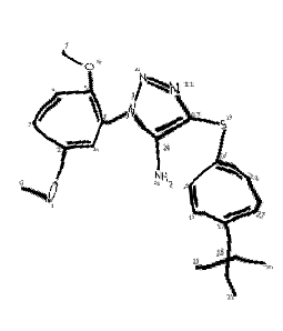 COc1ccc(OC)c(-n2nnc(Sc3ccc(C(C)(C)C)cc3)c2N)c1